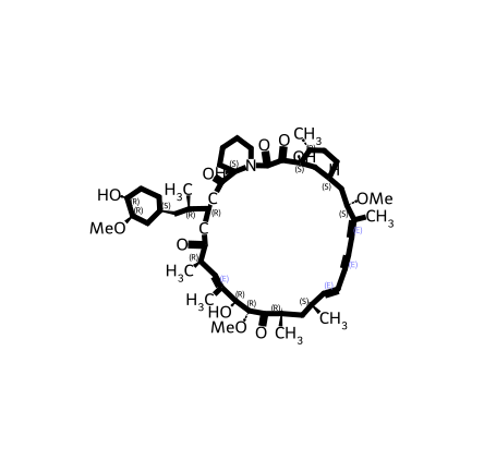 CO[C@H]1C[C@@H]2CC[C@@H](C)[C@@](O)(C2)C(=O)C(=O)N2CCCC[C@H]2C(=O)C[C@H]([C@H](C)C[C@@H]2CC[C@@H](O)[C@H](OC)C2)CC(=O)[C@H](C)/C=C(\C)[C@@H](O)[C@@H](OC)C(=O)[C@H](C)C[C@H](C)/C=C/C=C/C=C/1C